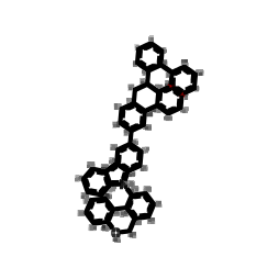 c1ccc(-c2ccccc2C2Cc3ccc(-c4ccc5c(c4)c4ccccc4n5-c4cccc5c4-c4ccccc4OC5)cc3-c3ccccc32)cc1